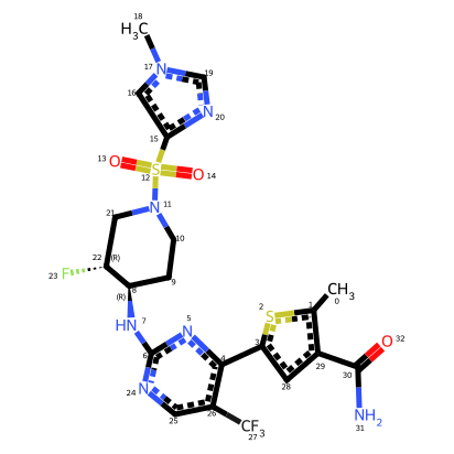 Cc1sc(-c2nc(N[C@@H]3CCN(S(=O)(=O)c4cn(C)cn4)C[C@H]3F)ncc2C(F)(F)F)cc1C(N)=O